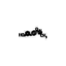 Cc1cnn(C(=O)N2CCN(Cc3cccc(CO)c3)CC2)c1